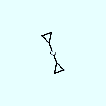 C1C[CH]1[Cu][CH]1CC1